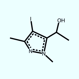 Cc1nn(C)c(C(C)O)c1I